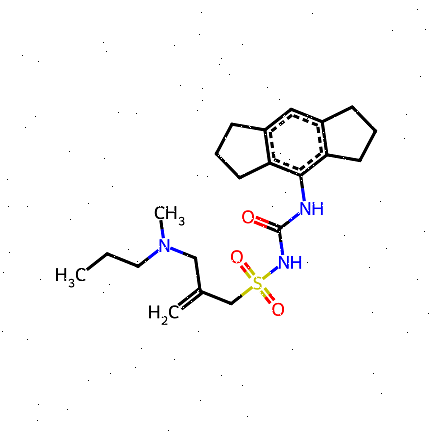 C=C(CN(C)CCC)CS(=O)(=O)NC(=O)Nc1c2c(cc3c1CCC3)CCC2